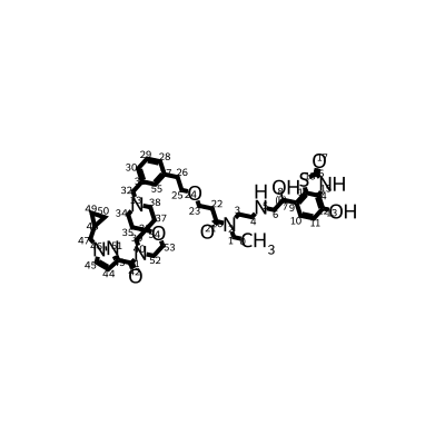 CCN(CCNC[C@H](O)c1ccc(O)c2[nH]c(=O)sc12)C(=O)CCOCCc1cccc(CN2CCC3(CC2)CN(C(=O)c2ccn(CC4CC4)n2)CCO3)c1